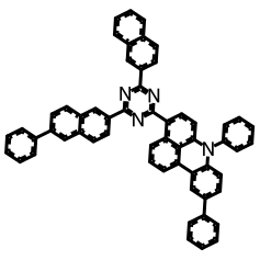 c1ccc(-c2ccc3c(c2)-c2cccc4c(-c5nc(-c6ccc7ccccc7c6)nc(-c6ccc7cc(-c8ccccc8)ccc7c6)n5)ccc(c24)N3c2ccccc2)cc1